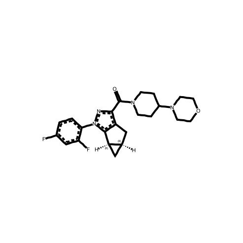 O=C(c1nn(-c2ccc(F)cc2F)c2c1C[C@H]1C[C@@H]21)N1CCC(N2CCOCC2)CC1